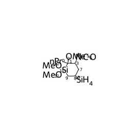 CCCC1(OC)C(N=C=O)CCC[Si]1(OC)OC.[SiH4]